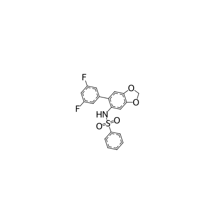 O=S(=O)(Nc1cc2c(cc1-c1cc(F)cc(F)c1)OCO2)c1ccccc1